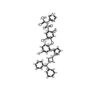 O=C(O)N(c1cscn1)S(=O)(=O)c1cc(Cl)c(Oc2ccc(F)cc2-c2ccnn2C2CN(C(c3ccccc3)c3ccccc3)C2)cc1F